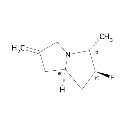 C=C1C[C@@H]2C[C@H](F)[C@@H](C)N2C1